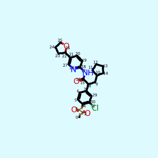 CS(=O)(=O)c1ccc(C(CC2CCCC2)C(=O)Nc2ccc(C3CCCO3)cn2)cc1Cl